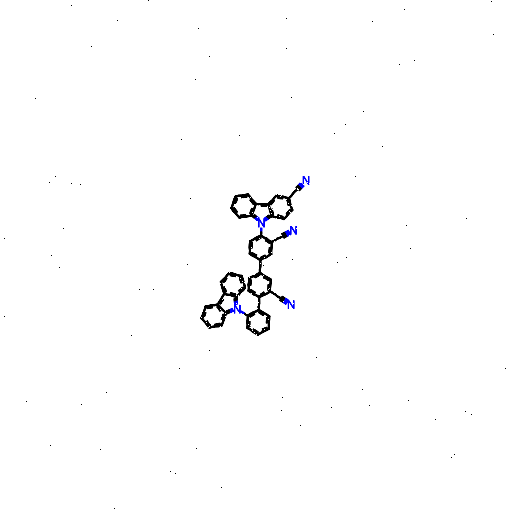 N#Cc1ccc2c(c1)c1ccccc1n2-c1ccc(-c2ccc(-c3ccccc3-n3c4ccccc4c4ccccc43)c(C#N)c2)cc1C#N